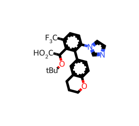 CC(C)(C)OC(C(=O)O)c1c(C(F)(F)F)ccc(-n2ccnc2)c1-c1ccc2c(c1)CCCO2